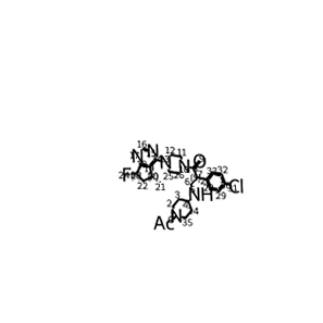 CC(=O)N1CCC(NC[C@@H](C(=O)N2CCN(c3ncnc4c3[C@H](C)C[C@H]4F)CC2)c2ccc(Cl)cc2)CC1